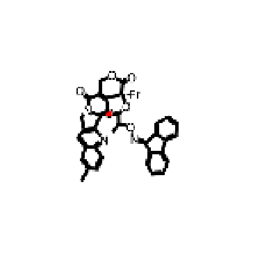 CC[C@@]1(OC(=O)C(C)ON=C2c3ccccc3-c3ccccc32)C(=O)OCc2c1cc1n(c2=O)Cc2cc3cc(C)ccc3nc2-1